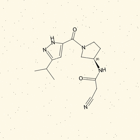 CC(C)c1cc(C(=O)N2CC[C@@H](NC(=O)CC#N)C2)[nH]n1